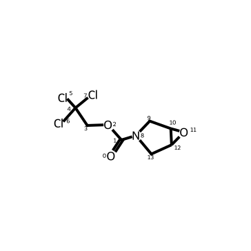 O=C(OCC(Cl)(Cl)Cl)N1CC2OC2C1